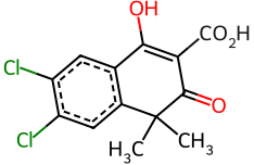 CC1(C)C(=O)C(C(=O)O)=C(O)c2cc(Cl)c(Cl)cc21